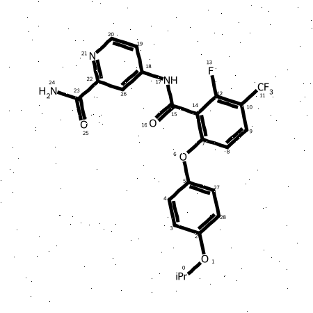 CC(C)Oc1ccc(Oc2ccc(C(F)(F)F)c(F)c2C(=O)Nc2ccnc(C(N)=O)c2)cc1